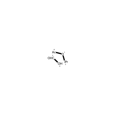 CC(=O)OC(C)C.O=CO